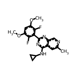 COc1cc(OC)c(F)c(-c2nc(NC3CC3)c3cc(C)ncc3n2)c1F